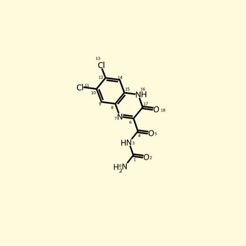 NC(=O)NC(=O)c1nc2cc(Cl)c(Cl)cc2[nH]c1=O